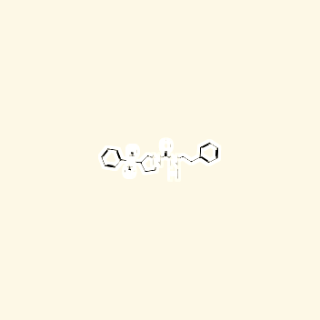 O=C(NCCc1ccccc1)N1CCC(S(=O)(=O)c2ccccc2)C1